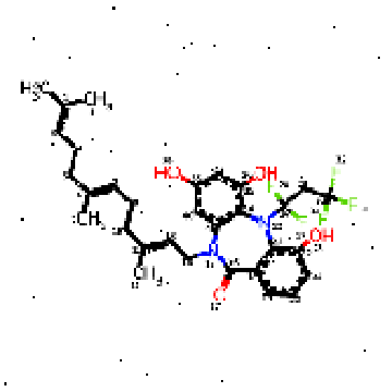 CC(C)=CCC/C(C)=C/CC/C(C)=C/CN1C(=O)c2cccc(O)c2N(C(F)(F)CC(F)(F)F)c2c(O)cc(O)cc21